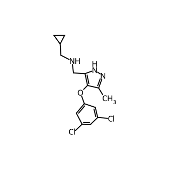 Cc1n[nH]c(CNCC2CC2)c1Oc1cc(Cl)cc(Cl)c1